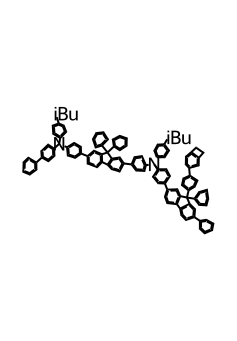 CCC(C)c1ccc(N(c2ccc(-c3ccccc3)cc2)c2ccc(-c3ccc4c(c3)C(c3ccccc3)(c3ccccc3)c3cc(-c5ccc(N(c6ccc(-c7ccc8c(c7)C(c7ccccc7)(c7ccc(-c9ccc%10c(c9)CC%10)cc7)c7cc(-c9ccccc9)ccc7-8)cc6)c6ccc(C(C)CC)cc6)cc5)ccc3-4)cc2)cc1